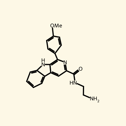 COc1ccc(-c2nc(C(=O)NCCN)cc3c2[nH]c2ccccc23)cc1